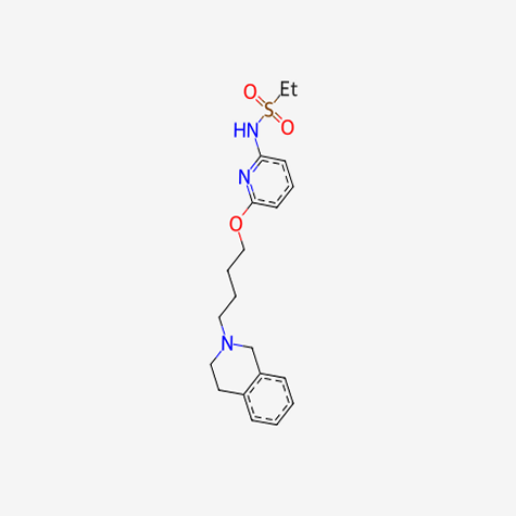 CCS(=O)(=O)Nc1cccc(OCCCCN2CCc3ccccc3C2)n1